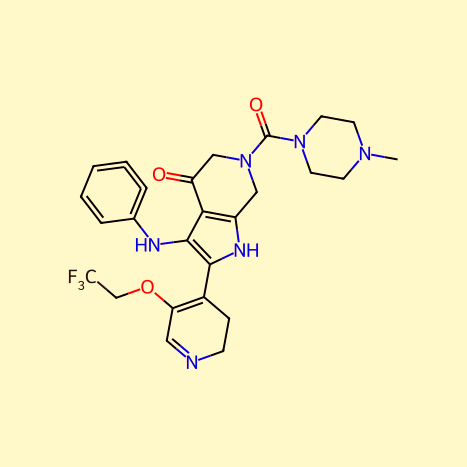 CN1CCN(C(=O)N2CC(=O)c3c([nH]c(C4=C(OCC(F)(F)F)C=NCC4)c3NC3=C=C=CC=C3)C2)CC1